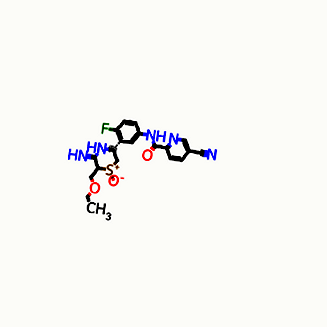 CCOCC1C(=N)N[C@H](c2cc(NC(=O)c3ccc(C#N)cn3)ccc2F)C[S+]1[O-]